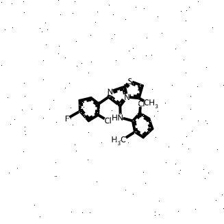 Cc1cccc(Cl)c1Nc1c(-c2ccc(F)cc2Cl)nc2scc(C)n12